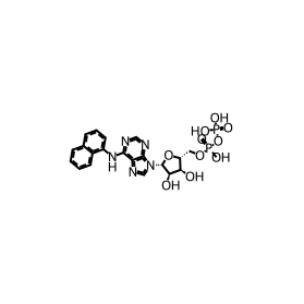 O=P(O)(O)OP(=O)(O)OC[C@H]1O[C@@H](n2cnc3c(Nc4cccc5ccccc45)ncnc32)[C@H](O)[C@@H]1O